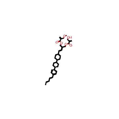 C=C(CO)C(=O)OCC(CCC1CCC(C2CCC(c3ccc(CCCCC)cc3)CC2)CC1)COC(=O)C(=C)COC